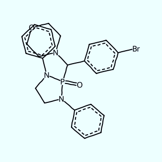 O=P1(C(c2ccc(Br)cc2)N2CCOCC2)N(c2ccccc2)CCN1c1ccccc1